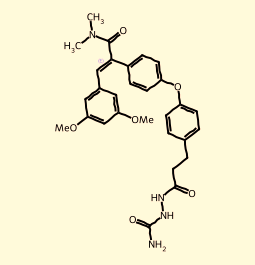 COc1cc(/C=C(/C(=O)N(C)C)c2ccc(Oc3ccc(CCC(=O)NNC(N)=O)cc3)cc2)cc(OC)c1